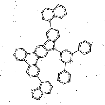 c1ccc(-c2cc(-n3c4ccc(-c5cccc6ccccc56)cc4c4cc5c6ccccc6c6ccc(-c7cccc8ccsc78)cc6c5cc43)cc(-c3ccccc3)n2)cc1